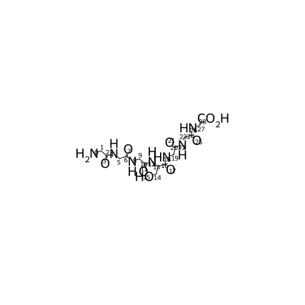 NCC(=O)NCC(=O)NCC(=O)NC(CO)C(=O)NCC(=O)NCC(=O)NCC(=O)O